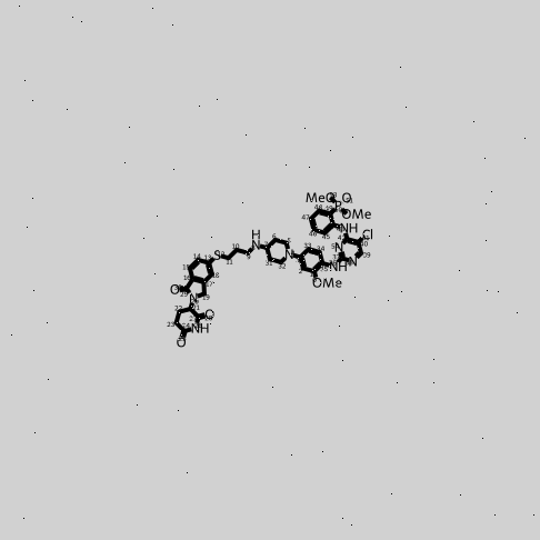 COc1cc(N2CCC(NCCCSc3ccc4c(c3)CN(C3CCC(=O)NC3=O)C4=O)CC2)ccc1Nc1ncc(Cl)c(Nc2ccccc2P(=O)(OC)OC)n1